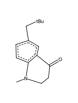 CN1CCC(=O)c2cc(CC(C)(C)C)ccc21